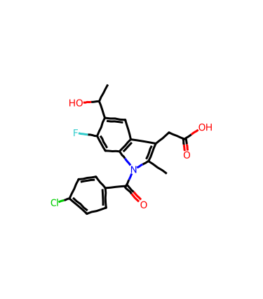 Cc1c(CC(=O)O)c2cc(C(C)O)c(F)cc2n1C(=O)c1ccc(Cl)cc1